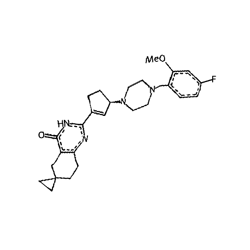 COc1cc(F)ccc1N1CCN([C@H]2C=C(c3nc4c(c(=O)[nH]3)CC3(CC4)CC3)CC2)CC1